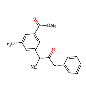 COC(=O)c1cc(C(C#N)C(=O)Cc2ccccc2)cc(C(F)(F)F)c1